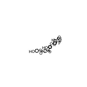 O=C(O[C@H]1CC[C@@H](O)CC1)N1CCN(C(=O)c2ccc(Oc3nccn4c(-c5conc5C(F)(F)F)cnc34)cc2O)CC1